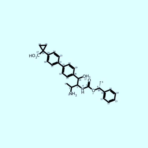 CC(N)C(NC(=O)O[C@H](C)c1ccccc1)C(O)c1ccc(-c2ccc(C3(C(=O)O)CC3)cc2)cc1